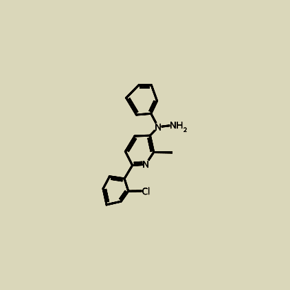 Cc1nc(-c2ccccc2Cl)ccc1N(N)c1ccccc1